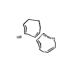 Br.C1=CCCC=C1.c1ccncc1